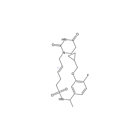 CC(NS(=O)(=O)CC/C=C/CN1CCC(=O)NC1=O)c1ccc(F)c(OCC2CC2)c1